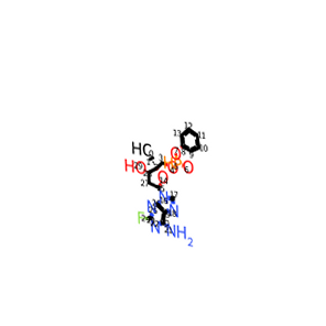 C#C[C@]1(CO[PH](=O)Oc2ccccc2)O[C@@H](n2cnc3c(N)nc(F)nc32)C[C@@H]1O